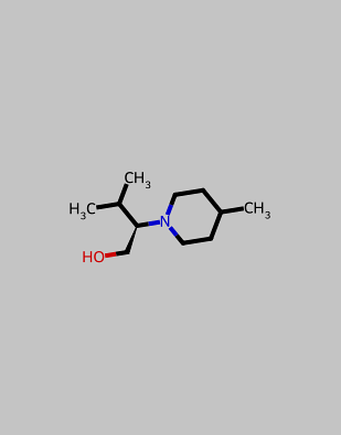 CC1CCN([C@@H](CO)C(C)C)CC1